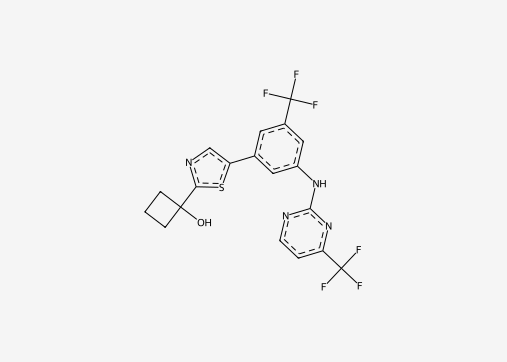 OC1(c2ncc(-c3cc(Nc4nccc(C(F)(F)F)n4)cc(C(F)(F)F)c3)s2)CCC1